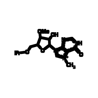 COC1C(COC(C)C)OC(n2c[n+](C)c3c(=O)[nH]cnc32)C1O